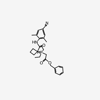 CC[PH](CC)(CC(=O)OCc1ccccc1)C1(C(=O)Nc2c(C)cc(C#N)cc2C)CCC1